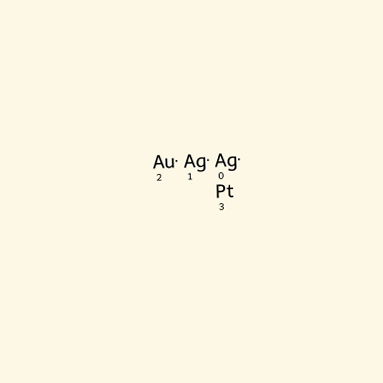 [Ag].[Ag].[Au].[Pt]